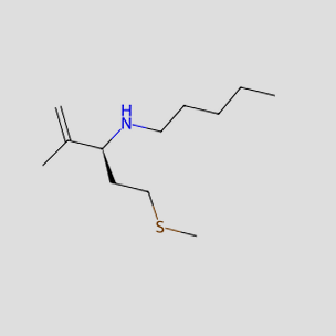 C=C(C)[C@H](CCSC)NCCCCC